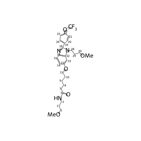 COCCCNC(=O)CCCCCOc1ccc2nc(-c3ccc(OC(F)(F)F)cc3)n(CCCOC)c2c1